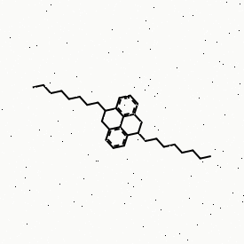 CCCCCCCCC1Cc2cccc3c2-c2c(cccc21)CC3CCCCCCCC